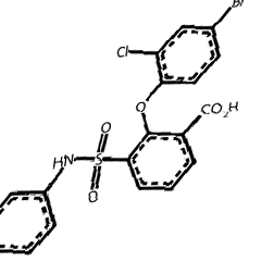 O=C(O)c1cccc(S(=O)(=O)Nc2ccccc2)c1Oc1ccc(Br)cc1Cl